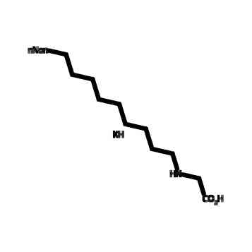 CCCCCCCCCCCCCCCCCCNCC(=O)O.[KH]